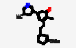 [CH2]C1=C(CCc2cccc(OC)c2)C=C(c2cncc(C#N)c2)CC1=O